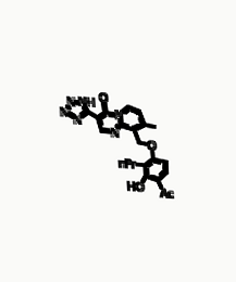 CCCc1c(OCc2c(C)ccn3c(=O)c(-c4nnn[nH]4)cnc23)ccc(C(C)=O)c1O